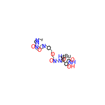 CN(CCNC[C@H](O[Si](C)(C)C(C)(C)C)c1ccc(O)c2[nH]c(=O)ccc12)C(=O)CCOCCc1ccc(CN2CCC3(CC2)CN(C(=O)c2ccn(CC4CC4)n2)CCO3)cc1